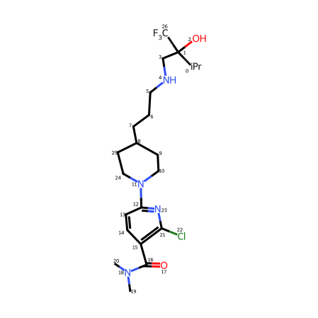 CC(C)C(O)(CNCCCC1CCN(c2ccc(C(=O)N(C)C)c(Cl)n2)CC1)C(F)(F)F